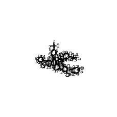 CC(C)(C)c1ccc(Nc2cc3c(cc2-c2ccc4c5cc6sc7ccccc7c6cc5n5c4c2Bc2sc4ccc(C(C)(C)C)cc4c2-5)sc2ccccc23)cc1